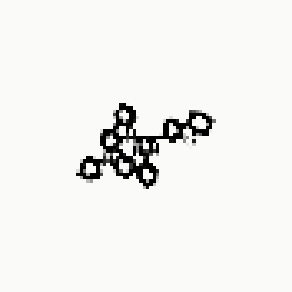 c1ccc(-c2nc(-c3ccc4c(c3)oc3ccccc34)cc(-n3c4ccccc4c4ccc5c(c6ccccc6n5-c5ccccc5)c43)n2)cc1